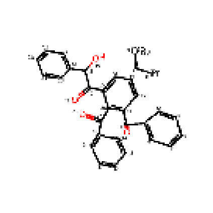 CC(C)COCC(C)C.O=C(c1ccccc1)c1cccc(C(=O)C(O)c2ccccc2)c1C(=O)c1ccccc1